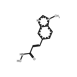 Cn1cnc2cc(C=CC(=O)NO)ccc21